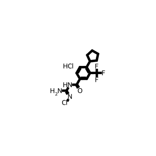 Cl.NC(=NCl)NC(=O)c1ccc(C2CCCC2)c(C(F)(F)F)c1